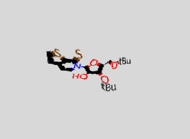 CC(C)(C)OC[C@H]1O[C@@H](n2ccc3ccsc3c2=S)[C@@H](O)C1OC(C)(C)C